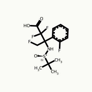 CC(C)(C)[S@@+]([O-])NC(CF)(c1ccccc1F)C(F)(F)C(=O)O